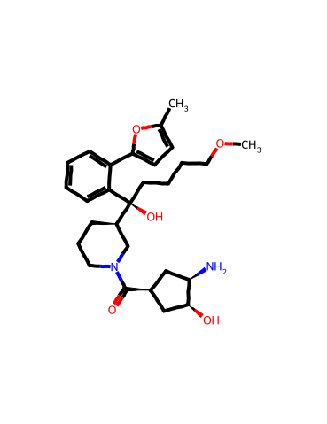 COCCCC[C@@](O)(c1ccccc1-c1ccc(C)o1)[C@@H]1CCCN(C(=O)[C@H]2C[C@@H](N)[C@@H](O)C2)C1